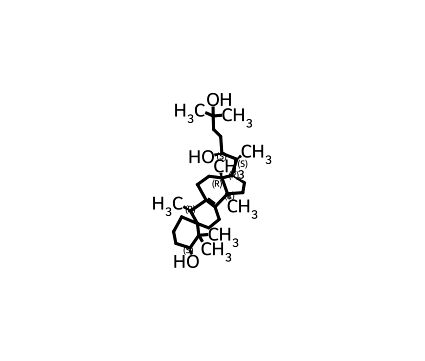 C[C@@H]([C@H]1CC[C@@]2(C)C3=C(CC[C@]12C)[C@H](C)C1(CCC[C@H](O)C1(C)C)CC3)[C@@H](O)CCC(C)(C)O